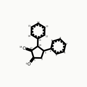 O=C1CC(c2ccccc2)C(c2ccccc2)C1=O